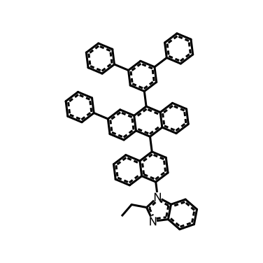 CCc1nc2ccccc2n1-c1ccc(-c2c3ccccc3c(-c3cc(-c4ccccc4)cc(-c4ccccc4)c3)c3cc(-c4ccccc4)ccc23)c2ccccc12